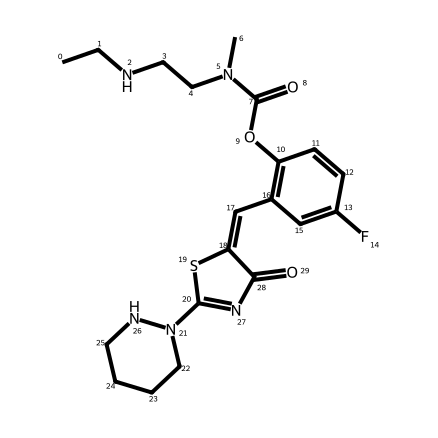 CCNCCN(C)C(=O)Oc1ccc(F)cc1/C=C1/SC(N2CCCCN2)=NC1=O